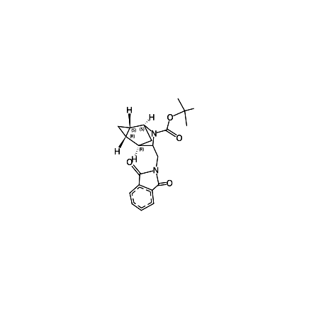 CC(C)(C)OC(=O)N1C(CN2C(=O)c3ccccc3C2=O)[C@@H]2C[C@H]1[C@H]1C[C@H]12